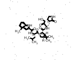 Cc1cccc2[nH]c(C(=O)N[C@@H](CC(C)C)C(=O)N3C[C@H]4[C@@H]([C@H]3C(=O)N[C@@H](C[C@@H]3CCNC3=O)C(=O)CO)C4(C)C)cc12